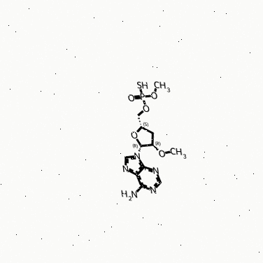 CO[C@@H]1C[C@@H](COP(=O)(S)OC)O[C@H]1n1cnc2c(N)ncnc21